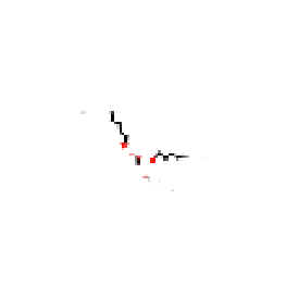 CCCCCCCCCCCCCCCC(=O)OC[C@H](COC(=O)C(=O)O)OC(=O)CCCCCCCCCCCCCCC